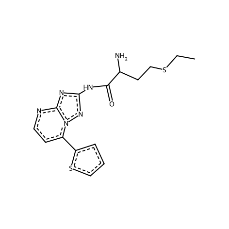 CCSCCC(N)C(=O)Nc1nc2nccc(-c3cccs3)n2n1